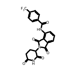 O=C1CCC(N2C(=O)c3cccc(NC(=O)c4ccc(C(F)(F)F)cc4)c3C2=O)C(=O)N1